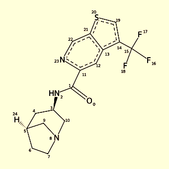 O=C(N[C@@H]1C[C@@H]2CCN(C2)C1)c1cc2c(C(F)(F)F)csc2cn1